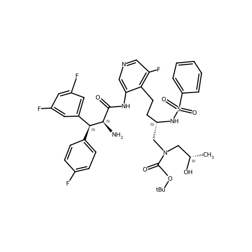 C[C@H](O)CN(C[C@H](CCc1c(F)cncc1NC(=O)[C@@H](N)[C@@H](c1ccc(F)cc1)c1cc(F)cc(F)c1)NS(=O)(=O)c1ccccc1)C(=O)OC(C)(C)C